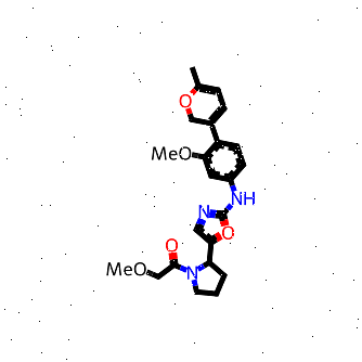 COCC(=O)N1CCCC1c1cnc(Nc2ccc(C3=CC=C(C)OC3)c(OC)c2)o1